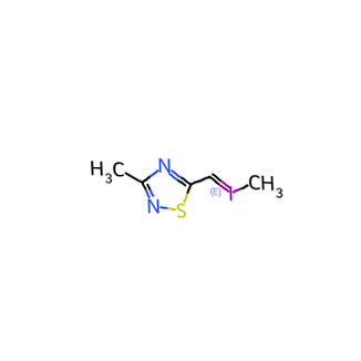 C/I=C/c1nc(C)ns1